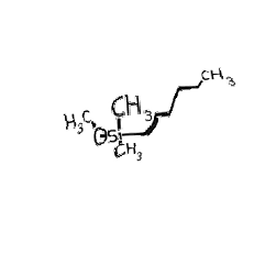 CCCCC=C[Si](C)(C)OC